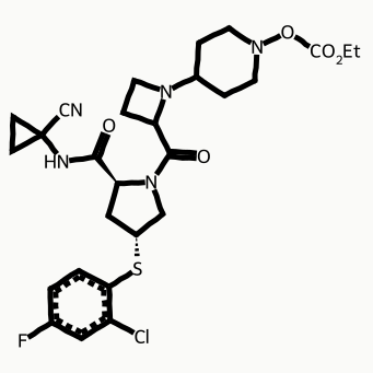 CCOC(=O)ON1CCC(N2CCC2C(=O)N2C[C@H](Sc3ccc(F)cc3Cl)C[C@H]2C(=O)NC2(C#N)CC2)CC1